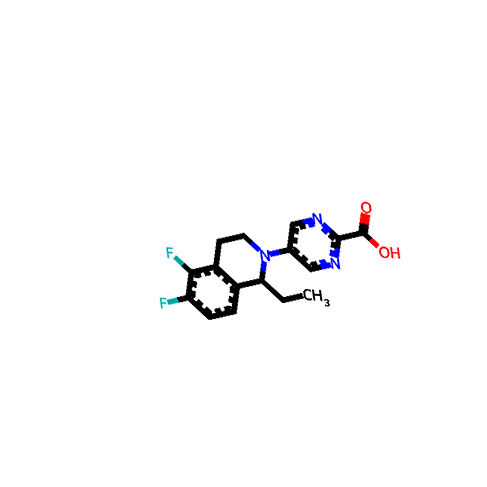 CCC1c2ccc(F)c(F)c2CCN1c1cnc(C(=O)O)nc1